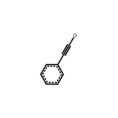 [O]C#Cc1ccccc1